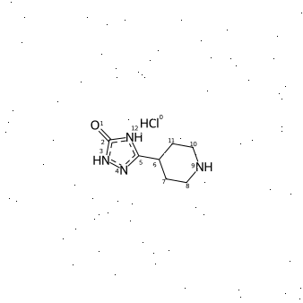 Cl.O=c1[nH]nc(C2CCNCC2)[nH]1